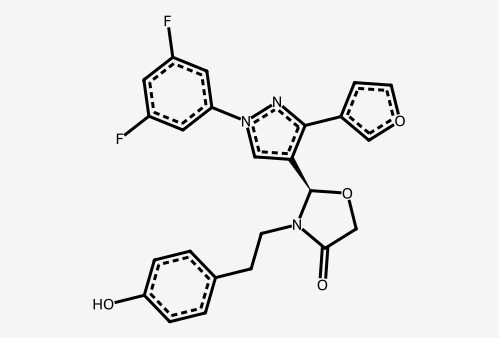 O=C1CO[C@H](c2cn(-c3cc(F)cc(F)c3)nc2-c2ccoc2)N1CCc1ccc(O)cc1